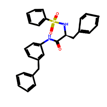 O=C(Nc1cccc(Cc2ccccc2)c1)[C@H](Cc1cc[c]cc1)NS(=O)(=O)c1ccccc1